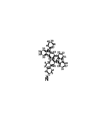 N#Cc1ccc2c(ccc3ccc(-n4c5ccccc5c5cccc(-c6ccc7c8ccccc8n(-c8ccccc8)c7c6)c54)cc32)c1